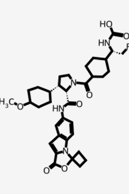 COC1CCC([C@@H]2CCN(C(=O)C3CCC([C@@H](CF)NC(=O)O)CC3)[C@@H]2C(=O)Nc2ccc3c(c2)cc2n3C3(CCC3)OC2=O)CC1